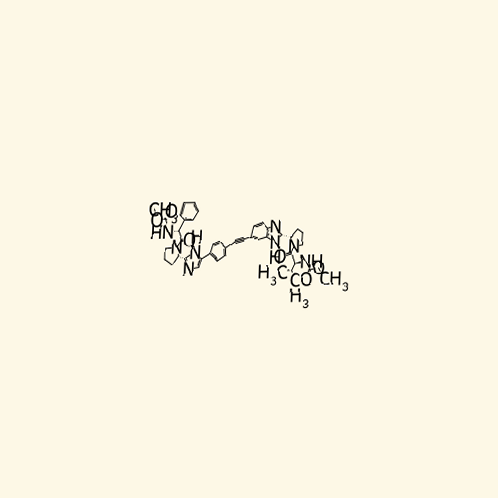 COC(=O)N[C@H](C(=O)N1CCC[C@H]1c1nc2ccc(C#Cc3ccc(-c4cnc([C@@H]5CCCN5C(=O)[C@H](NC(=O)OC)c5ccccc5)[nH]4)cc3)cc2[nH]1)C(C)C